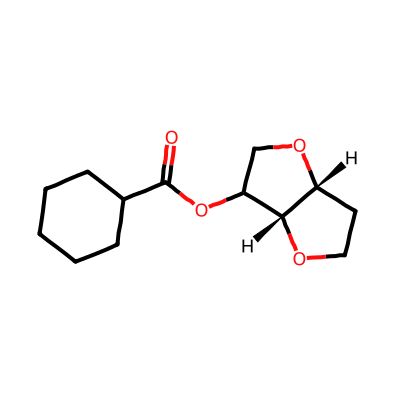 O=C(OC1CO[C@@H]2CCO[C@H]12)C1CCCCC1